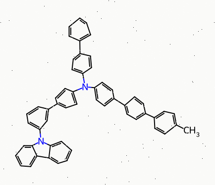 Cc1ccc(-c2ccc(-c3ccc(N(c4ccc(-c5ccccc5)cc4)c4ccc(-c5cccc(-n6c7ccccc7c7ccccc76)c5)cc4)cc3)cc2)cc1